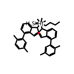 CCC[CH2][Hf]([CH3])([CH3])([CH3])(=[SiH2])([CH]1C=Cc2c(-c3cc(C)ccc3C)cccc21)[CH]1C=Cc2c(-c3cc(C)ccc3C)cccc21